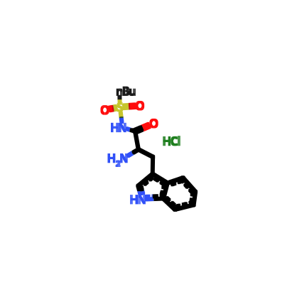 CCCCS(=O)(=O)NC(=O)C(N)Cc1c[nH]c2ccccc12.Cl